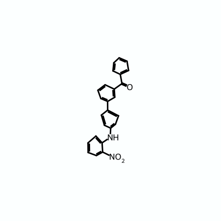 O=C(c1ccccc1)c1cccc(-c2ccc(Nc3ccccc3[N+](=O)[O-])cc2)c1